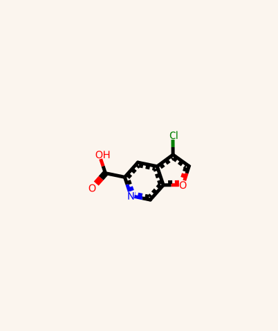 O=C(O)c1cc2c(Cl)coc2cn1